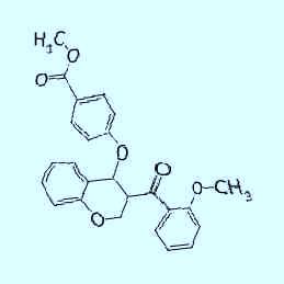 COC(=O)c1ccc(OC2c3ccccc3OCC2C(=O)c2ccccc2OC)cc1